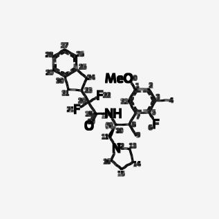 COc1cc(C)c(F)c(C(C)[C@@H](CN2CCCC2)NC(=O)C(F)(F)C2Cc3ccccc3C2)c1